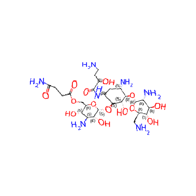 NCC[C@H](O)C(=O)N[C@@H]1C[C@H](N)[C@@H](O[C@H]2O[C@H](CN)[C@@H](O)[C@H](O)[C@H]2N)[C@H](O)[C@H]1O[C@H]1O[C@H](COC(=O)CCC(N)=O)[C@@H](O)[C@H](N)[C@H]1O